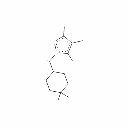 Cc1c(C(F)(F)F)nn(CC2CCC(F)(F)CC2)c1C(=O)O